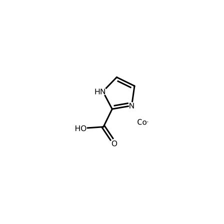 O=C(O)c1ncc[nH]1.[Co]